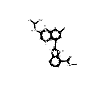 COC(=O)c1cccc2nc(-c3cc(C)cc4nc(OC(F)F)cnc34)sc12